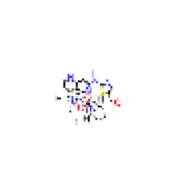 CC(C)(C)OC(=O)N1[C@@H]2CCC[C@H]1C[C@H](Nc1nc(Nc3ncc(CO)s3)cc3ncccc13)C2